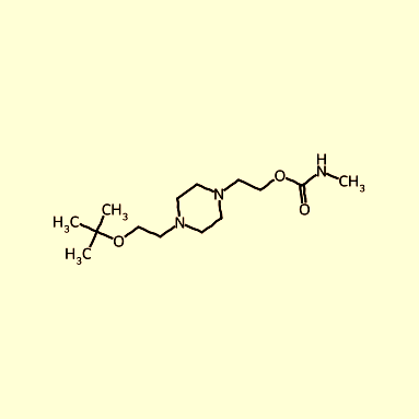 CNC(=O)OCCN1CCN(CCOC(C)(C)C)CC1